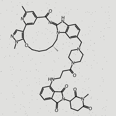 Cc1cc2cc(n1)-c1cnn(C)c1OCCC[C@@H](C)CN1/C(=N/C2=O)Nc2ccc(CN3CCN(C(=O)CCNc4cccc5c4C(=O)N(C4CCC(=O)N(C)C4=O)C5=O)CC3)cc21